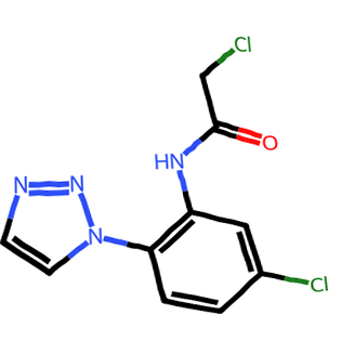 O=C(CCl)Nc1cc(Cl)ccc1-n1ccnn1